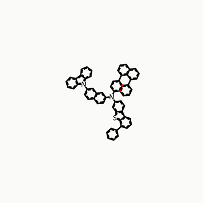 c1ccc(-c2cccc3c2sc2cc(N(c4ccc(-c5cccc6cccc(-c7ccccc7)c56)cc4)c4ccc5ccc(-n6c7ccccc7c7ccccc76)cc5c4)ccc23)cc1